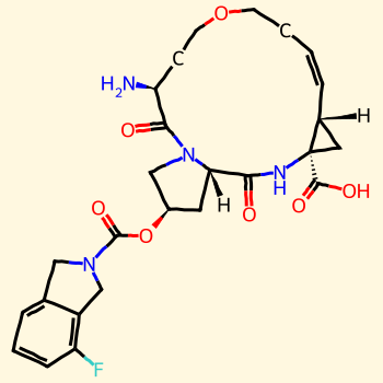 N[C@H]1CCOCC/C=C\[C@@H]2C[C@@]2(C(=O)O)NC(=O)[C@@H]2C[C@@H](OC(=O)N3Cc4cccc(F)c4C3)CN2C1=O